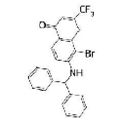 O=C1C=C(C(F)(F)F)Cc2c1ccc(NC(c1ccccc1)c1ccccc1)c2Br